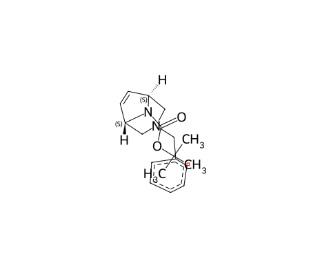 CC(C)(C)OC(=O)N1[C@H]2C=C[C@H]1CN(Cc1ccccc1)C2